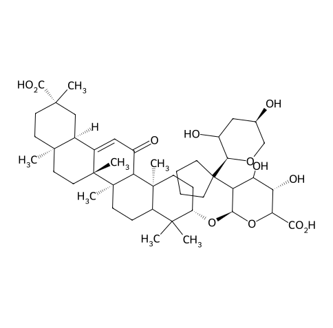 CC1(C)C2CC[C@]3(C)C(C(=O)C=C4[C@@H]5C[C@@](C)(C(=O)O)CC[C@]5(C)CC[C@]43C)[C@@]2(C)CC[C@@H]1O[C@@H]1OC(C(=O)O)[C@@H](O)C(O)C1C1([C@@H]2OC[C@H](O)CC2O)CCCC1